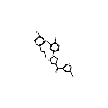 Cc1cc(C(=O)N2C[C@H](CCOc3ccc(Cl)cn3)[C@@H](c3ccc(F)c(F)c3)C2)cnn1